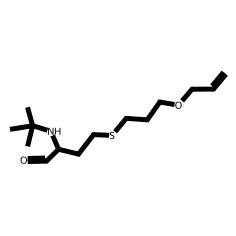 C=CCOCCCSCCC(C=O)NC(C)(C)C